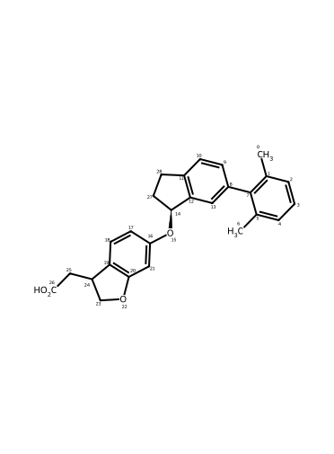 Cc1cccc(C)c1-c1ccc2c(c1)[C@@H](Oc1ccc3c(c1)OCC3CC(=O)O)CC2